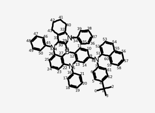 CC(C)(C)c1ccc(N(c2ccc3c(c2)N(c2ccccc2)c2cccc4c2B3c2c(c3c(n2-c2ccccc2)CCCC3)N4c2ccccc2)c2cccc3ccccc23)cc1